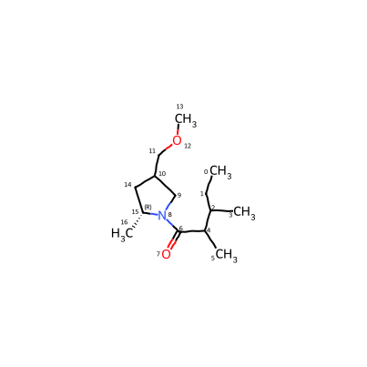 CCC(C)C(C)C(=O)N1CC(COC)C[C@H]1C